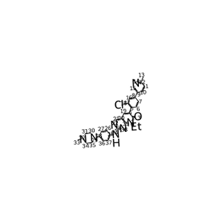 CCn1c(=O)c(-c2ccc(-c3ccc(C)nc3)cc2Cl)cc2cnc(Nc3ccc(N4CCN(C)CC4)cc3)nc21